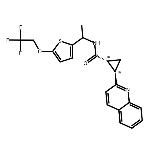 CC(NC(=O)[C@@H]1C[C@H]1c1ccc2ccccc2n1)c1ccc(OCC(F)(F)F)s1